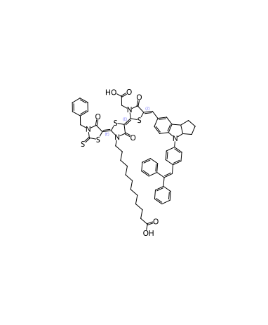 O=C(O)CCCCCCCCCCCn1c(=O)/c(=c2\s/c(=C\c3ccc4c(c3)C3CCCC3N4c3ccc(C=C(c4ccccc4)c4ccccc4)cc3)c(=O)n2CC(=O)O)s/c1=C1/SC(=S)N(Cc2ccccc2)C1=O